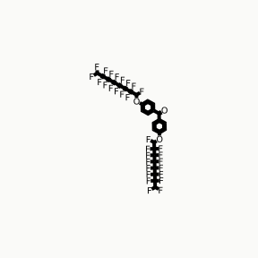 O=C(c1ccc(OC(F)C(F)(F)C(F)(F)C(F)(F)C(F)(F)C(F)(F)C(F)(F)C(F)F)cc1)c1ccc(OC(F)C(F)(F)C(F)(F)C(F)(F)C(F)(F)C(F)(F)C(F)(F)C(F)F)cc1